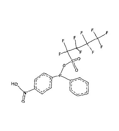 O=[N+](O)c1ccc([I+](OS(=O)(=O)C(F)(F)C(F)(F)C(F)(F)C(F)(F)F)c2ccccc2)cc1